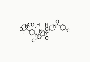 C[C@@H]1OCCN(C(=O)O)[C@H]1c1ccc(-n2c(Cl)cc3c(=O)n(CC4(O)CCN(C(=O)c5ccc(Cl)cc5)CC4)cnc32)cc1